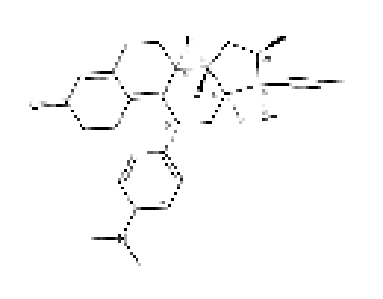 CC#C[C@]1(O)[C@H](C)C[C@H]2[C@@H]3CCC4=CC(=O)CCC4=C3[C@@H](c3ccc(N(C)C)cc3)C[C@@]21C